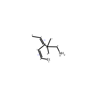 C/C=C(\C=C/CC)C(C)(C)CN